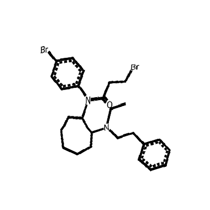 CCN(CCc1ccccc1)C1CCCCCC1N(C(=O)CCBr)c1ccc(Br)cc1